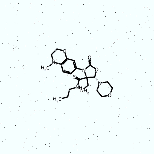 CCCNC(=S)C1(CN)[C@@H](N2CCOCC2)OC(=O)N1c1ccc2c(c1)OCCN2C